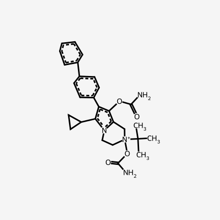 CC(C)(C)[N+]1(OC(N)=O)CCn2c(c(OC(N)=O)c(-c3ccc(-c4ccccc4)cc3)c2C2CC2)C1